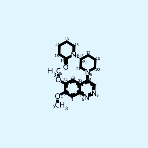 COc1cc2nncc(N3CCC[C@@H](N4CCCCC4=O)C3)c2cc1OC